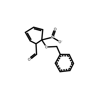 O=CC1C=CC=CC1(OCc1ccccc1)[N+](=O)[O-]